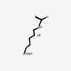 CCCCCCCCCCCCNC(I)CC.I